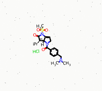 CC(C)[C@H]1C(=O)N(S(C)(=O)=O)C2=CCN(C(=O)c3ccc(CN(C)C)cc3)[C@@H]21.Cl